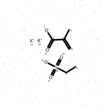 C=C(C)C(=O)[O-].CCS(=O)(=O)[O-].[K+].[K+]